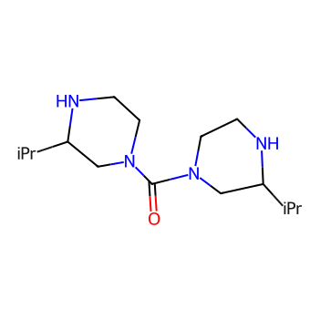 CC(C)C1CN(C(=O)N2CCNC(C(C)C)C2)CCN1